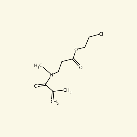 C=C(C)C(=O)N(C)CCC(=O)OCCCl